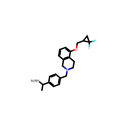 CC(=O)NC(C)c1ccc(CN2CCc3c(cccc3OCC3CC3(F)F)C2)cc1